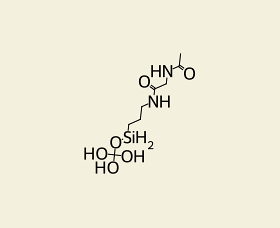 CC(=O)NCC(=O)NCCC[SiH2]OC(O)(O)O